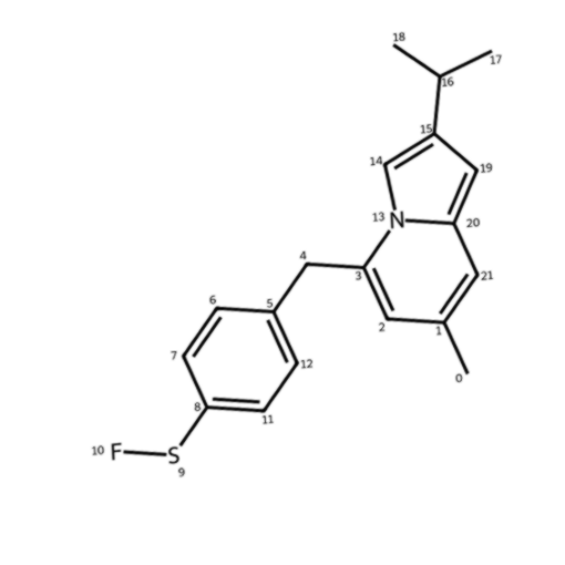 Cc1cc(Cc2ccc(SF)cc2)n2cc(C(C)C)cc2c1